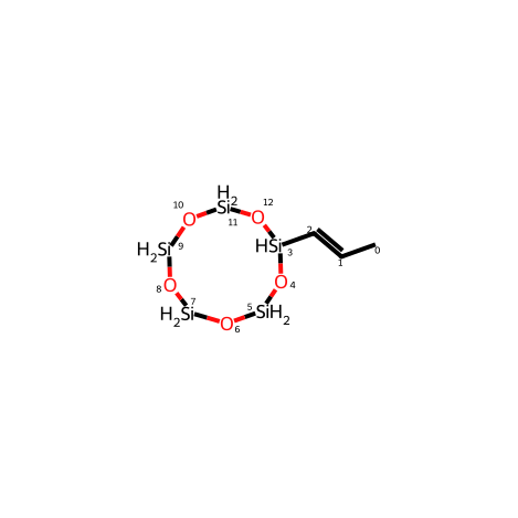 CC=C[SiH]1O[SiH2]O[SiH2]O[SiH2]O[SiH2]O1